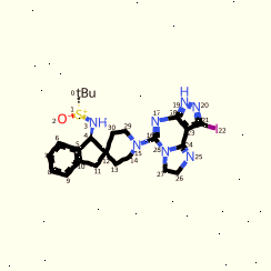 CC(C)(C)[S@@+]([O-])N[C@@H]1c2ccccc2CC12CCN(C1=Nc3[nH]nc(I)c3C3=NCCN31)CC2